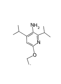 [CH2]COc1cc(C(C)C)c(N)c(C(C)C)n1